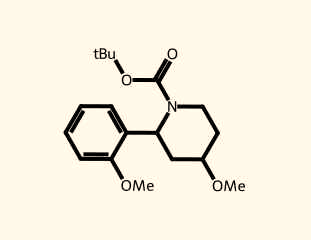 COc1ccccc1C1CC(OC)CCN1C(=O)OC(C)(C)C